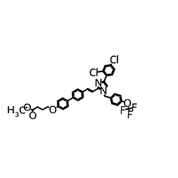 COC(=O)CCCOc1ccc(-c2ccc(/C=C/c3nc(-c4ccc(Cl)cc4Cl)cn3Cc3ccc(OC(F)(F)F)cc3)cc2)cc1